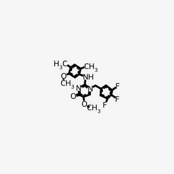 COc1cc(Nc2nc(=O)c(OC)cn2Cc2cc(F)c(F)c(F)c2)c(C)cc1C